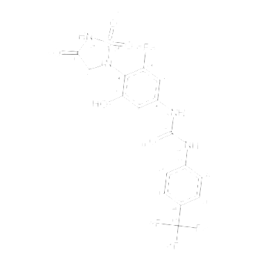 O=C1CN(c2c(O)cc(NC(=O)Nc3ccc(C(F)(F)F)cc3)cc2F)S(=O)(=O)N1